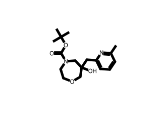 Cc1cccc(CC2(O)COCCN(C(=O)OC(C)(C)C)C2)n1